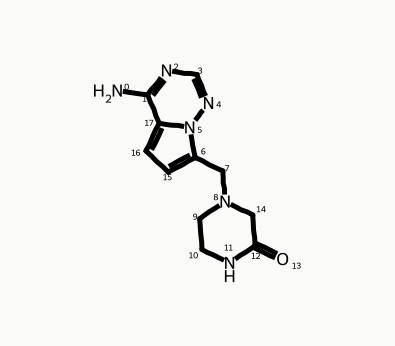 Nc1ncnn2c(CN3CCNC(=O)C3)ccc12